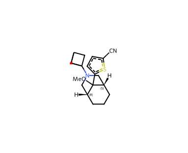 COC1(c2ccc(C#N)s2)[C@@H]2CCC[C@H]1CN(C13CC(C1)C3)C2